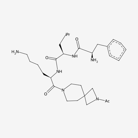 CC(=O)N1CC2(CCN(C(=O)[C@@H](CCCCN)NC(=O)[C@@H](CC(C)C)NC(=O)[C@H](N)Cc3ccccc3)CC2)C1